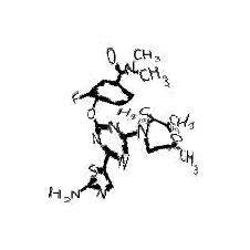 C[C@@H]1CN(c2nc(Oc3ccc(C(=O)N(C)C)cc3F)nc(-c3cnc(N)s3)n2)[C@@H](C)[C@@H](C)O1